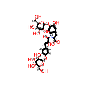 O=C(O)[C@@H]1Cc2cc(O)c(O[C@@H]3O[C@H](CO)[C@@H](O)[C@H](O)[C@H]3O)cc2N1C(=O)/C=C/c1ccc(O[C@@H]2O[C@H](CO)[C@@H](O)[C@H](O)[C@H]2O)cc1